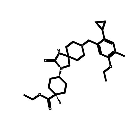 CCOc1cc(CN2CCC3(CC2)CN([C@H]2CC[C@](C)(C(=O)OCC)CC2)C(=O)N3)c(C2CC2)cc1C